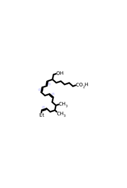 CC/C=C\CC(C)C(C)C/C=C\C/C=C\C=C\C(CO)CCCCCC(=O)O